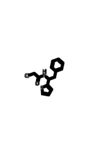 O=C(CCl)NC(Cc1ccccc1)c1cccs1